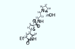 CCc1cc(C2CC=C(S(=O)(=O)NCCCN3CCC[C@@H]3CO)S2)c(C)[nH]c1=O